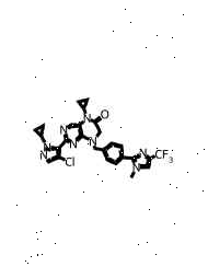 Cn1cc(C(F)(F)F)nc1-c1ccc(CN2CC(=O)N(C3CC3)c3cnc(-c4c(Cl)cnn4C4CC4)nc32)cc1